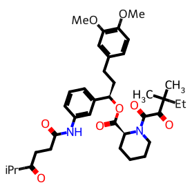 CCC(C)(C)C(=O)C(=O)N1CCCC[C@H]1C(=O)O[C@H](CCc1ccc(OC)c(OC)c1)c1cccc(NC(=O)CCC(=O)C(C)C)c1